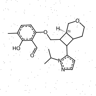 Cc1ccc(OCC2C(c3ccnn3C(C)C)C3CCOC[C@@H]32)c(C=O)c1O